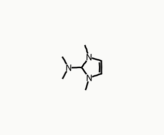 CN(C)C1N(C)C=CN1C